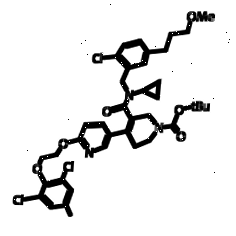 COCCCc1ccc(Cl)c(CN(C(=O)C2=C(c3ccc(OCCOc4c(Cl)cc(C)cc4Cl)nc3)CCN(C(=O)OC(C)(C)C)C2)C2CC2)c1